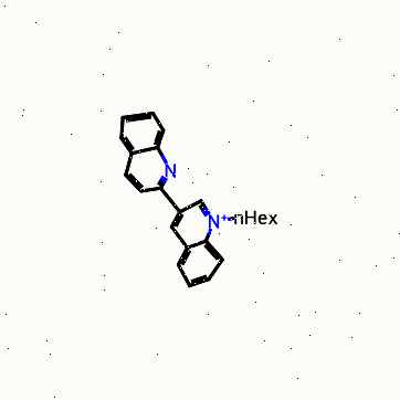 CCCCCC[n+]1cc(-c2ccc3ccccc3n2)cc2ccccc21